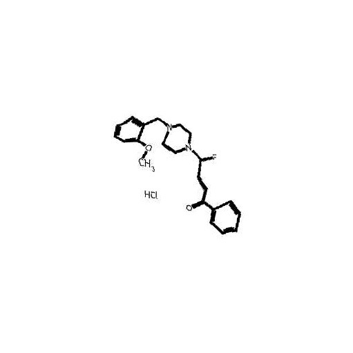 COc1ccccc1CN1CCN(C(F)CCC(=O)c2ccccc2)CC1.Cl